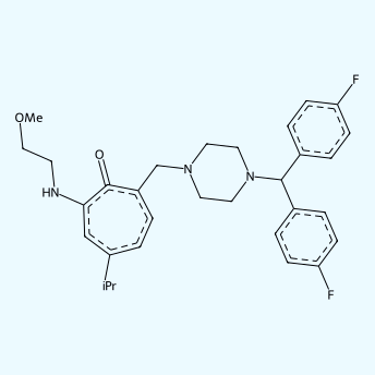 COCCNc1cc(C(C)C)ccc(CN2CCN(C(c3ccc(F)cc3)c3ccc(F)cc3)CC2)c1=O